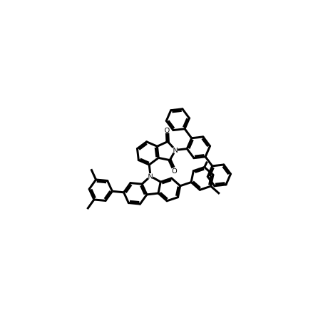 Cc1cc(C)cc(-c2ccc3c4ccc(-c5cc(C)cc(C)c5)cc4n(-c4cccc5c4C(=O)N(c4cc(-c6ccccc6)ccc4-c4ccccc4)C5=O)c3c2)c1